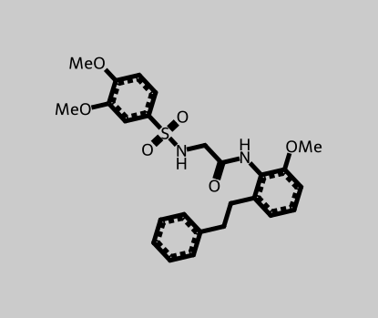 COc1ccc(S(=O)(=O)NCC(=O)Nc2c(CCc3ccccc3)cccc2OC)cc1OC